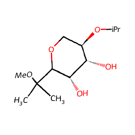 COC(C)(C)C1OC[C@@H](OC(C)C)[C@H](O)[C@@H]1O